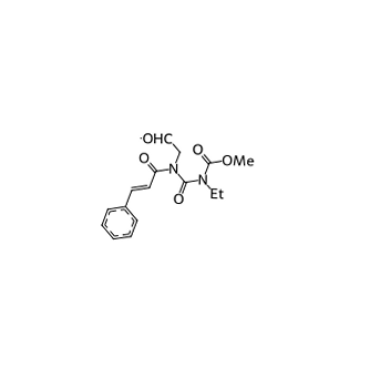 CCN(C(=O)OC)C(=O)N(C[C]=O)C(=O)/C=C/c1ccccc1